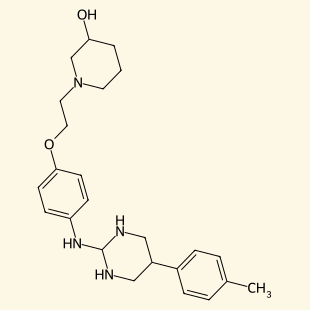 Cc1ccc(C2CNC(Nc3ccc(OCCN4CCCC(O)C4)cc3)NC2)cc1